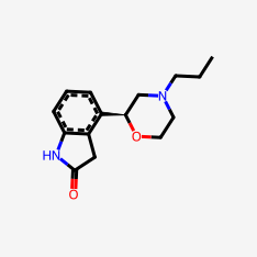 CCCN1CCO[C@@H](c2cccc3c2CC(=O)N3)C1